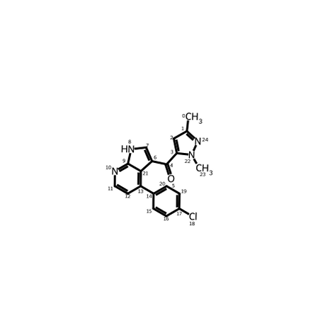 Cc1cc(C(=O)c2c[nH]c3nccc(-c4ccc(Cl)cc4)c23)n(C)n1